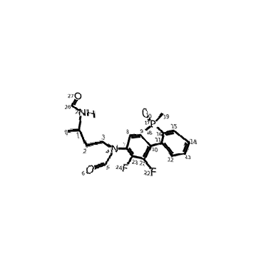 CC(CCN(C=O)c1ccc(-c2ccccc2P(C)(C)=O)c(F)c1F)NC=O